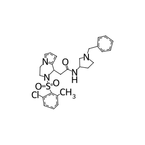 Cc1cccc(Cl)c1S(=O)(=O)N1CCn2cccc2C1CC(=O)NC1CCN(Cc2ccccc2)C1